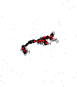 CC1(C)CCC(CN2CCN(c3ccc(C(=O)NS(=O)(=O)c4ccc(NCC5CCN(C6CCN(CCCCCSc7cccc8c7CN(C7CCC(=O)NC7=O)C8=O)CC6)CC5)c([N+](=O)[O-])c4)c(Oc4cnc5[nH]ccc5c4)c3)CC2)=C(c2ccc(Cl)cc2)C1